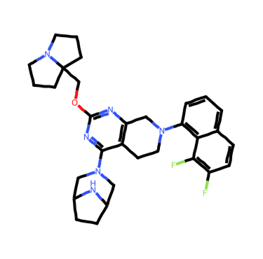 Fc1ccc2cccc(N3CCc4c(nc(OCC56CCCN5CCC6)nc4N4CC5CCC(C4)N5)C3)c2c1F